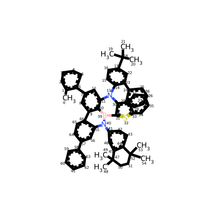 Cc1ccccc1-c1cc2c3c(c1)N(c1ccc(C(C)(C)C)cc1-c1ccccc1)c1c(sc4ccccc14)B3N(c1ccc3c(c1)C(C)(C)CCC3(C)C)c1cc(-c3ccccc3)ccc1-2